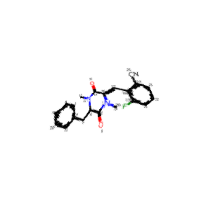 CN1C(=O)C(Cc2ccccc2)N(C)C(=O)C1=Cc1c(F)cccc1C#N